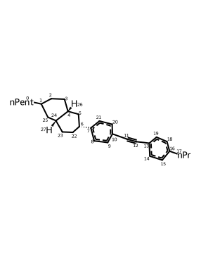 CCCCCC1CC[C@@H]2C[C@H](c3ccc(C#Cc4ccc(CCC)cc4)cc3)CC[C@@H]2C1